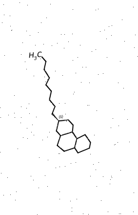 CCCCCCCCC[C@H]1CCC2C(CCC3CCCCC32)C1